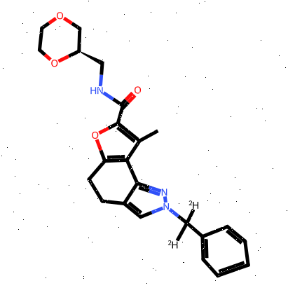 [2H]C([2H])(c1ccccc1)n1cc2c(n1)-c1c(oc(C(=O)NC[C@@H]3COCCO3)c1C)CC2